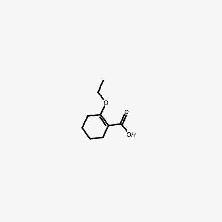 CCOC1=C(C(=O)O)CCCC1